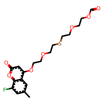 Cc1cc(F)c2oc(=O)cc(OCCOCCSCCOCCOC=O)c2c1